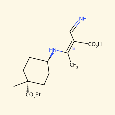 CCOC(=O)[C@]1(C)CC[C@@H](N/C(=C(\C=N)C(=O)O)C(F)(F)F)CC1